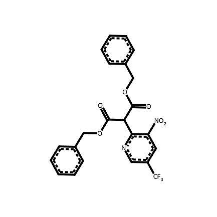 O=C(OCc1ccccc1)C(C(=O)OCc1ccccc1)c1ncc(C(F)(F)F)cc1[N+](=O)[O-]